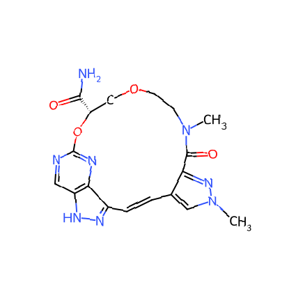 CN1CCOC[C@@H](C(N)=O)Oc2ncc3[nH]nc(c3n2)/C=C/c2cn(C)nc2C1=O